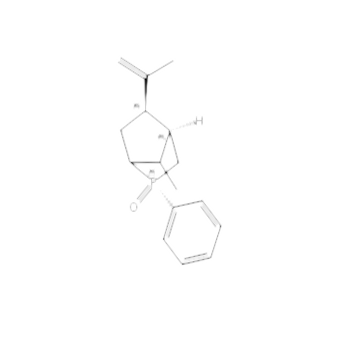 C=C(C)[C@@H]1CC2C(C)[C@@H]1C[P@]2(=O)c1ccccc1